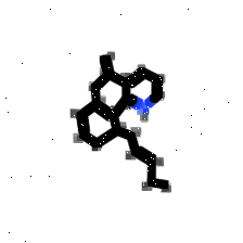 C=C1CC2=C(c3ncccc31)C(CC=CCC)CC=C2